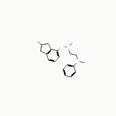 CCCC1Cc2cccc(SN(C)CCN(C)c3ccccc3)c2C1